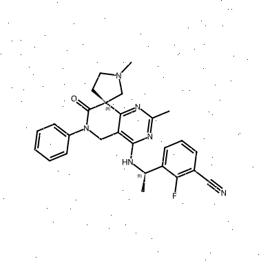 Cc1nc(N[C@H](C)c2cccc(C#N)c2F)c2c(n1)[C@]1(CCN(C)C1)C(=O)N(c1ccccc1)C2